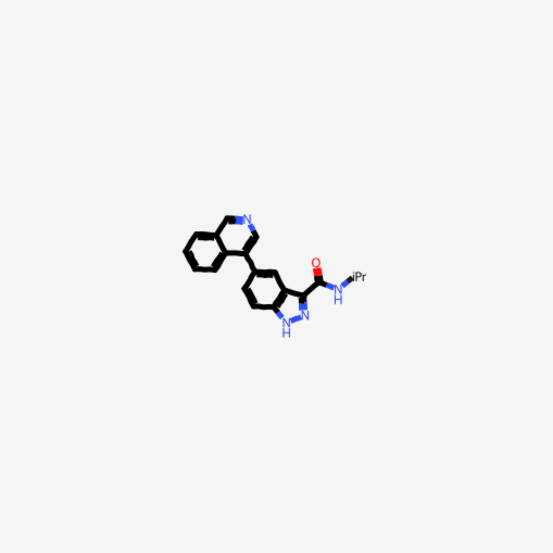 CC(C)NC(=O)c1n[nH]c2ccc(-c3cncc4ccccc34)cc12